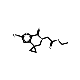 CCOC(=O)CN1CC2(CC2)c2cc(N)sc2C1=O